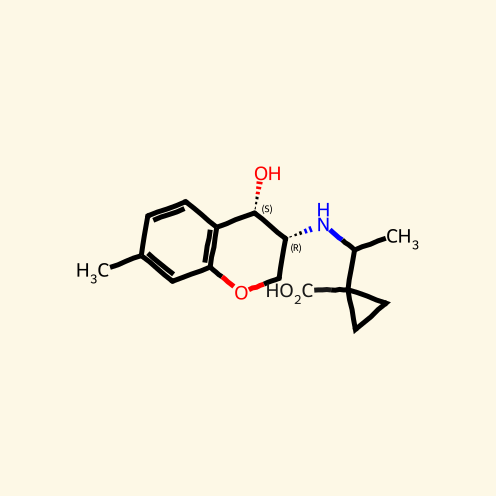 Cc1ccc2c(c1)OC[C@@H](NC(C)C1(C(=O)O)CC1)[C@H]2O